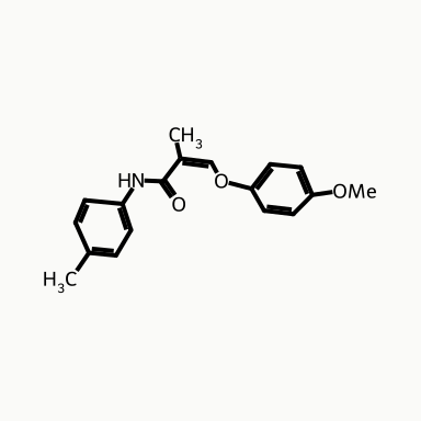 COc1ccc(OC=C(C)C(=O)Nc2ccc(C)cc2)cc1